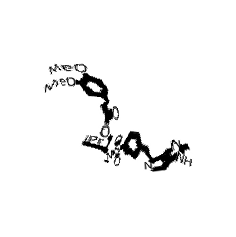 COc1ccc(CCC(=O)OC[C@H](CC(C)C)N(C)S(=O)(=O)c2ccc(Cc3nccc4[nH]c(C)nc34)cc2)cc1OC